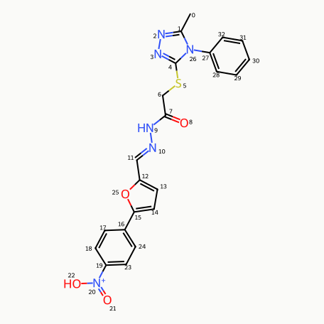 Cc1nnc(SCC(=O)N/N=C/c2ccc(-c3ccc([N+](=O)O)cc3)o2)n1-c1ccccc1